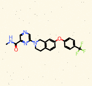 CNC(=O)c1cncc(N2CCc3ccc(Oc4ccc(C(F)(F)F)cc4)cc3C2)n1